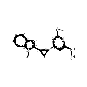 COc1nc(NN)cc([C@@H]2CC2c2nc3ccccc3n2C)n1